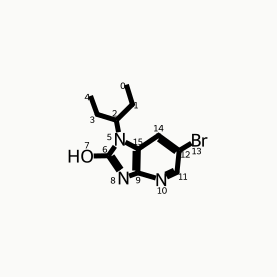 CCC(CC)n1c(O)nc2ncc(Br)cc21